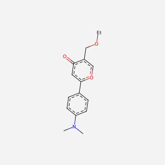 CCOCc1coc(-c2ccc(N(C)C)cc2)cc1=O